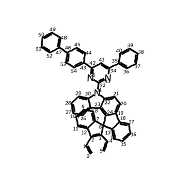 C=CC1=C(C=C)C2(c3ccccc31)c1ccccc1-c1ccc3c(c12)c1ccccc1n3-c1nc(-c2ccccc2)cc(-c2ccc(-c3ccccc3)cc2)n1